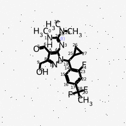 CN/C(=N\c1c(C=O)c(CO)nn1C(c1ccc(C(C)(F)F)cc1F)C1CC1)N(C)C